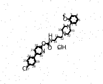 COc1ccccc1N1CCN(CCCNC(=O)Oc2ccc(-c3ccc(Cl)cc3)cn2)CC1.Cl